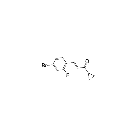 O=C(C=Cc1ccc(Br)cc1F)C1CC1